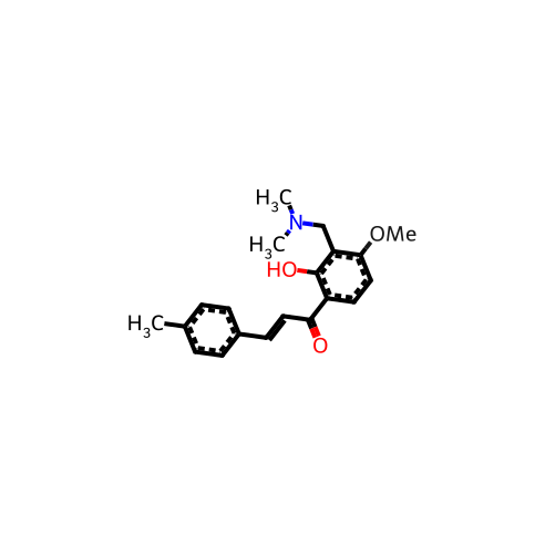 COc1ccc(C(=O)/C=C/c2ccc(C)cc2)c(O)c1CN(C)C